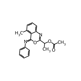 CC(=O)OC(C)c1nc2cccc(C)c2c(=Nc2ccccc2)o1